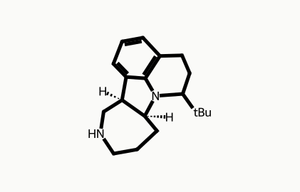 CC(C)(C)C1CCc2cccc3c2N1[C@H]1CCCNC[C@@H]31